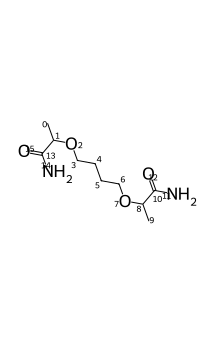 CC(OCCCCOC(C)C(N)=O)C(N)=O